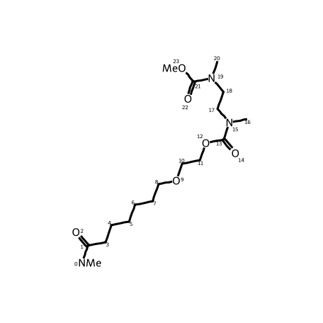 CNC(=O)CCCCCCOCCOC(=O)N(C)CCN(C)C(=O)OC